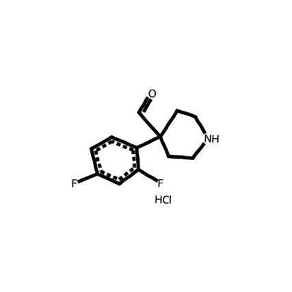 Cl.O=CC1(c2ccc(F)cc2F)CCNCC1